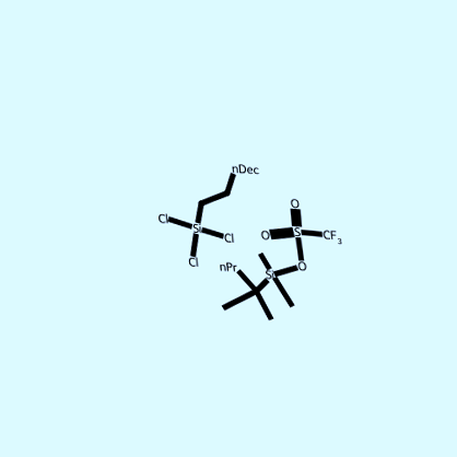 CCCC(C)(C)[Si](C)(C)OS(=O)(=O)C(F)(F)F.CCCCCCCCCCCC[Si](Cl)(Cl)Cl